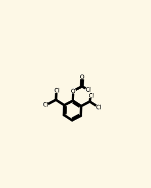 O=C(Cl)Oc1c(C(Cl)Cl)cccc1C(Cl)Cl